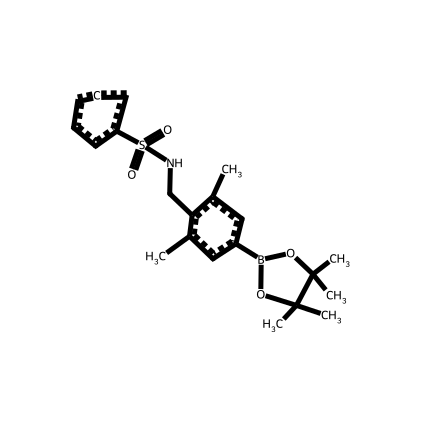 Cc1cc(B2OC(C)(C)C(C)(C)O2)cc(C)c1CNS(=O)(=O)c1ccccc1